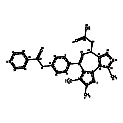 Cc1sc2c(c1C)C(c1ccc(CC(=O)c3ccncc3)cc1)=N[C@@H](CC(=O)O)c1nnc(C)n1-2